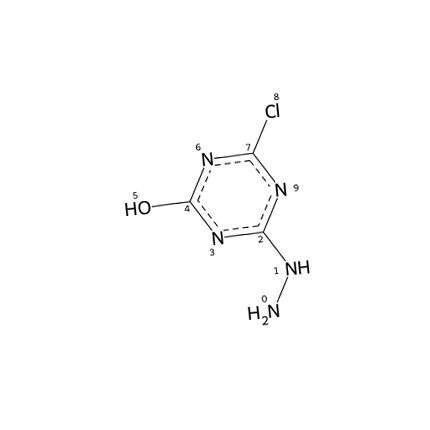 NNc1nc(O)nc(Cl)n1